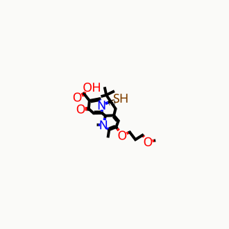 COCCCOC1=C(C)N(C)C2C(=C1)C[C@](S)(C(C)(C)C)n1cc(C(=O)O)c(=O)cc12